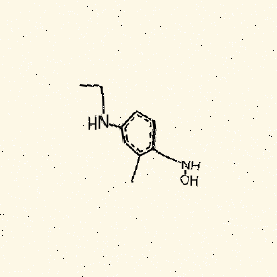 CCNc1ccc(NO)c(C)c1